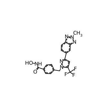 Cn1nc2ccc(-c3cc(C(F)(F)F)n(Cc4ccc(C(=O)NO)cc4)n3)cc2n1